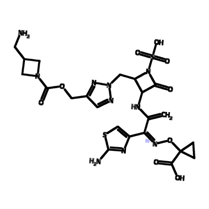 C=C(NC1C(=O)N(S(=O)(=O)O)C1Cn1ncc(COC(=O)N2CC(CN)C2)n1)/C(=N\OC1(C(=O)O)CC1)c1csc(N)n1